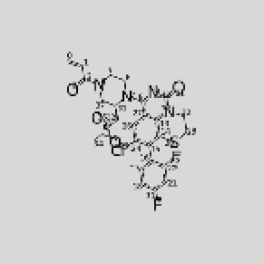 C=CC(=O)N1CCN(c2nc(=O)n3c4c(c(-c5ccc(F)cc5F)c(Cl)cc24)SCC3)[C@@H](CS(C)(=O)=O)C1